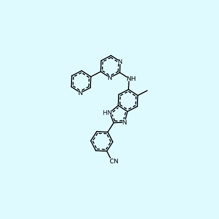 Cc1cc2nc(-c3cccc(C#N)c3)[nH]c2cc1Nc1nccc(-c2cccnc2)n1